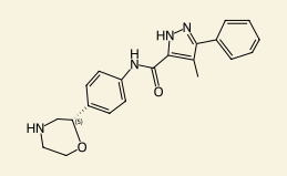 Cc1c(-c2ccccc2)n[nH]c1C(=O)Nc1ccc([C@H]2CNCCO2)cc1